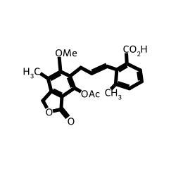 COc1c(C)c2c(c(OC(C)=O)c1CC=Cc1c(C)cccc1C(=O)O)C(=O)OC2